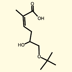 CC(=CCC(O)COC(C)(C)C)C(=O)O